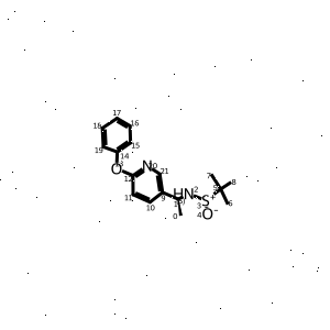 C[C@H](N[S+]([O-])C(C)(C)C)c1ccc(Oc2ccccc2)nc1